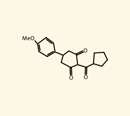 COc1ccc(C2CC(=O)C(C(=O)C3CCCC3)C(=O)C2)cc1